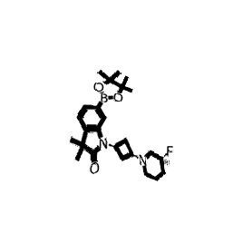 CC1(C)C(=O)N([C@H]2C[C@@H](N3CCC[C@@H](F)C3)C2)c2cc(B3OC(C)(C)C(C)(C)O3)ccc21